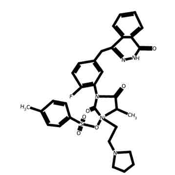 Cc1ccc(S(=O)(=O)O[N+]2(CCN3CCCC3)C(=O)N(c3cc(Cc4n[nH]c(=O)c5ccccc45)ccc3F)C(=O)C2C)cc1